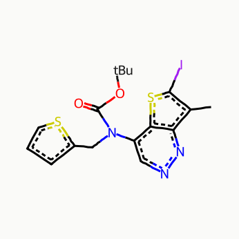 Cc1c(I)sc2c(N(Cc3cccs3)C(=O)OC(C)(C)C)cnnc12